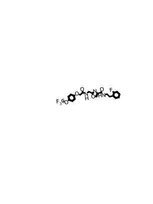 O=C(COc1ccc(OC(F)(F)F)cc1)NCc1nc(C(=O)NCCc2ccccc2F)co1